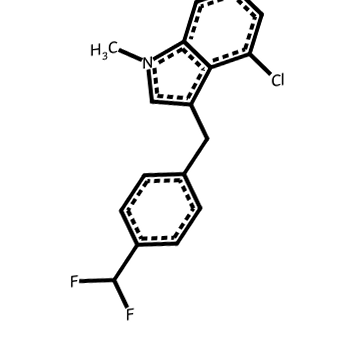 Cn1cc(Cc2ccc(C(F)F)cc2)c2c(Cl)cccc21